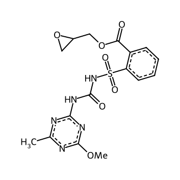 COc1nc(C)nc(NC(=O)NS(=O)(=O)c2ccccc2C(=O)OCC2CO2)n1